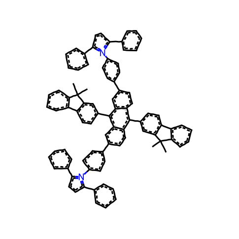 CC1(C)c2ccccc2-c2ccc(-c3c4ccc(-c5ccc(-n6c(-c7ccccc7)ccc6-c6ccccc6)cc5)cc4c(-c4ccc5c(c4)C(C)(C)c4ccccc4-5)c4cc(-c5ccc(-n6c(-c7ccccc7)ccc6-c6ccccc6)cc5)ccc34)cc21